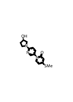 CSc1ccn(-c2ccc(N3CC[C@@H](O)C3)nc2)c(=O)c1